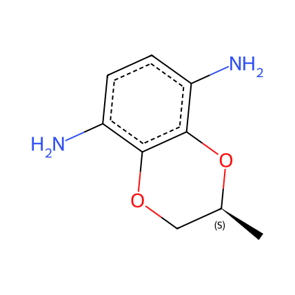 C[C@H]1COc2c(N)ccc(N)c2O1